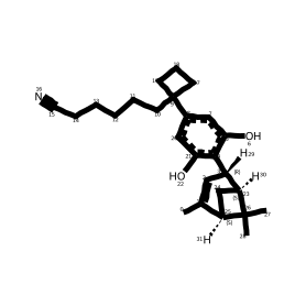 CC1=C[C@H](c2c(O)cc(C3(CCCCCC#N)CCC3)cc2O)[C@@H]2C[C@H]1C2(C)C